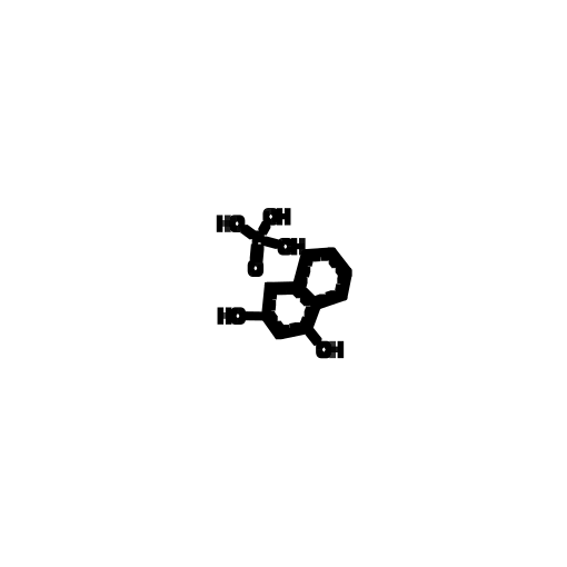 O=P(O)(O)O.Oc1cc(O)c2ccccc2c1